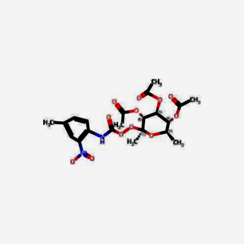 CC(=O)O[C@H]1[C@H](OC(C)=O)[C@@H](C)O[C@@](C)(OOC(=O)Nc2ccc(C)cc2[N+](=O)[O-])[C@@H]1OC(C)=O